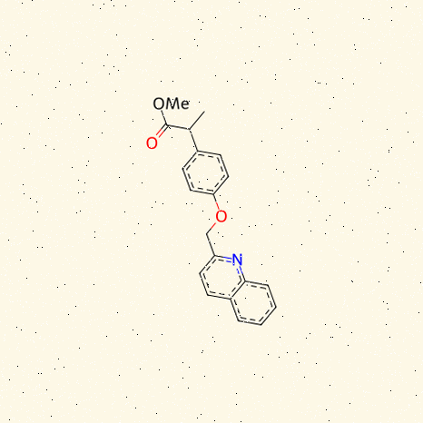 COC(=O)C(C)c1ccc(OCc2ccc3ccccc3n2)cc1